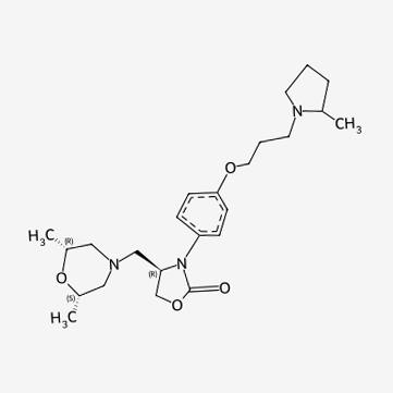 CC1CCCN1CCCOc1ccc(N2C(=O)OC[C@H]2CN2C[C@@H](C)O[C@@H](C)C2)cc1